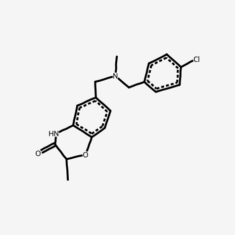 CC1Oc2ccc(CN(C)Cc3ccc(Cl)cc3)cc2NC1=O